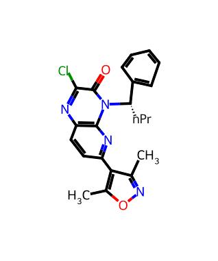 CCC[C@@H](c1ccccc1)n1c(=O)c(Cl)nc2ccc(-c3c(C)noc3C)nc21